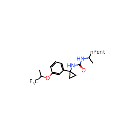 CCCCCC(C)NC(=O)NC1(c2cccc(OC(C)C(F)(F)F)c2)CC1